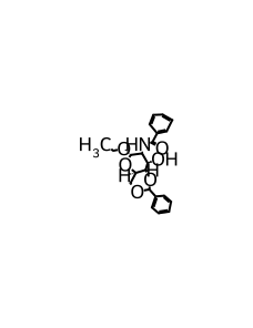 CCO[C@H]1O[C@@H]2COC(c3ccccc3)O[C@H]2[C@H](O)[C@H]1NC(=O)c1ccccc1